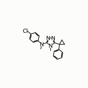 CN(c1ccc(Cl)cc1)c1nnc(C2(c3ccccc3)CC2)n1C